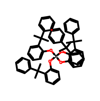 CC(C)(c1ccccc1)c1ccccc1[O][Ti]([O]c1ccccc1C(C)(C)c1ccccc1)([O]c1ccccc1C(C)(C)c1ccccc1)[O]c1ccccc1C(C)(C)c1ccccc1